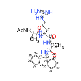 CC(=O)N[C@@H](C)C(=O)N[C@@H](CCCNC(=N)N)C(=O)N[C@@H](C)C(=O)NC(c1ccccc1)c1ccccc1